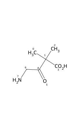 CC(C)(C(=O)O)C(=O)CN